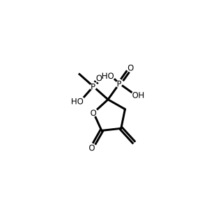 C=C1CC(P(C)(=O)O)(P(=O)(O)O)OC1=O